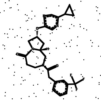 O=C(Cc1cccc(C(F)(F)F)c1)N1CCC(=O)N2C[C@H](Oc3cnc(C4CC4)cn3)C[C@@H]2C1